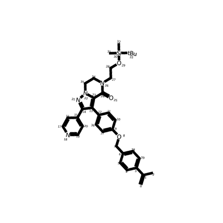 C=C(C)c1ccc(COc2ccc(-c3c(-c4ccncc4)nn4c3C(=O)N(CCO[Si](C)(C)C(C)(C)C)CC4)cc2)cc1